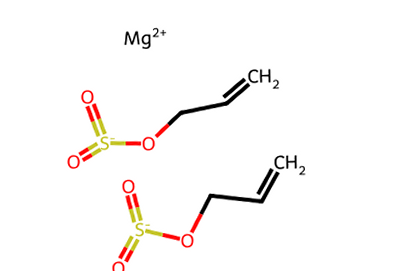 C=CCO[S-](=O)=O.C=CCO[S-](=O)=O.[Mg+2]